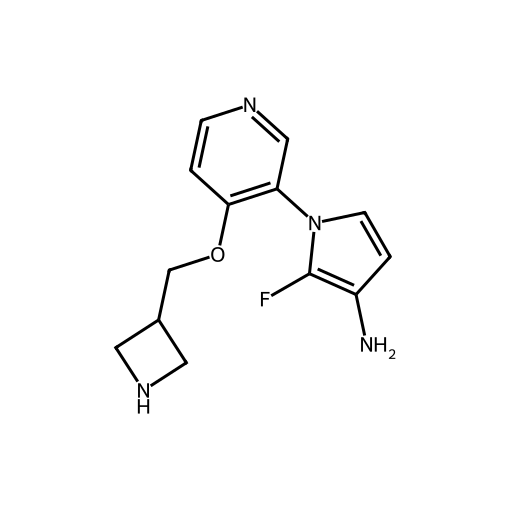 Nc1ccn(-c2cnccc2OCC2CNC2)c1F